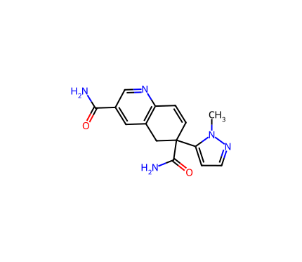 Cn1nccc1C1(C(N)=O)C=Cc2ncc(C(N)=O)cc2C1